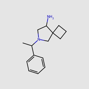 CC(c1ccccc1)N1CC(N)C2(CCC2)C1